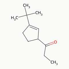 CCC(=O)C1C=C(C(C)(C)C)CC1